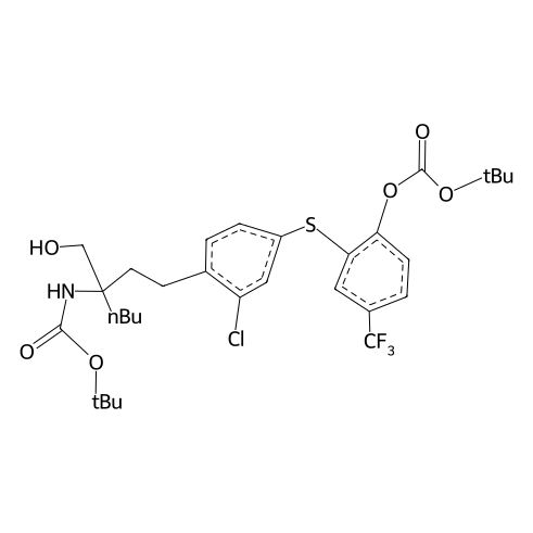 CCCCC(CO)(CCc1ccc(Sc2cc(C(F)(F)F)ccc2OC(=O)OC(C)(C)C)cc1Cl)NC(=O)OC(C)(C)C